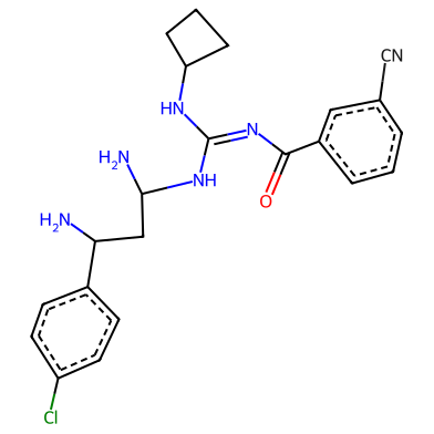 N#Cc1cccc(C(=O)/N=C(\NC(N)CC(N)c2ccc(Cl)cc2)NC2CCC2)c1